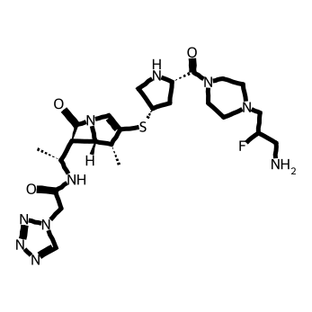 C[C@@H](NC(=O)Cn1cnnn1)[C@H]1C(=O)N2C=C(S[C@@H]3CN[C@H](C(=O)N4CCN(CC(F)CN)CC4)C3)[C@H](C)[C@H]12